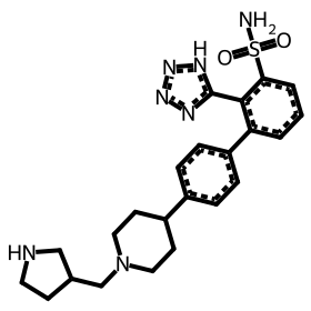 NS(=O)(=O)c1cccc(-c2ccc(C3CCN(CC4CCNC4)CC3)cc2)c1-c1nnn[nH]1